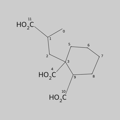 CC(CC1(C(=O)O)CCCCC1C(=O)O)C(=O)O